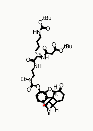 CCc1ccc(OC(=O)N(CC)CCNC(=O)[C@H](CCCCNC(=O)OC(C)(C)C)NC(=O)CC(=O)OC(C)(C)C)c2c1C13C(CCC(=O)[C@@H]1O2)[C@H]1C3CN1C